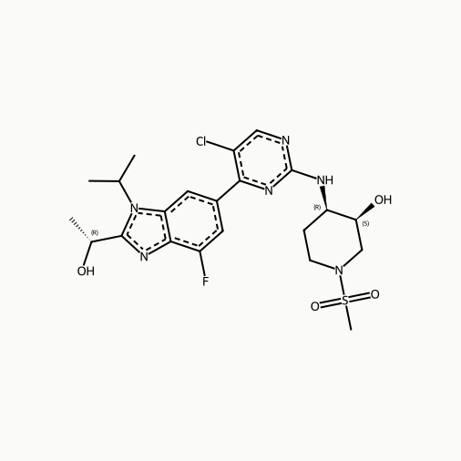 CC(C)n1c([C@@H](C)O)nc2c(F)cc(-c3nc(N[C@@H]4CCN(S(C)(=O)=O)C[C@@H]4O)ncc3Cl)cc21